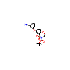 CC(C)(C)OC(=O)N1CCOc2ccc(Oc3cccc(C#N)c3)cc2S1(=O)=O